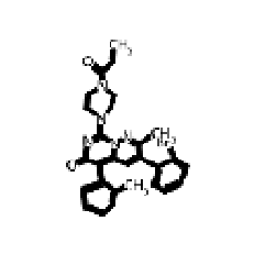 C=CC(=O)N1CCN(c2nc(=O)c(-c3ccccc3C)c3cc(-c4ccccc4Br)c(C)nn23)CC1